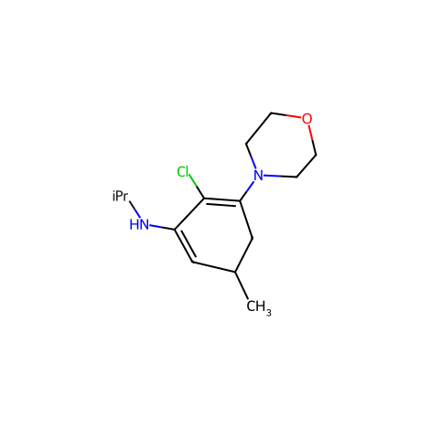 CC1C=C(NC(C)C)C(Cl)=C(N2CCOCC2)C1